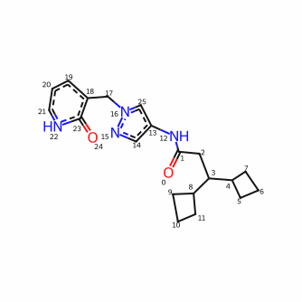 O=C(CC(C1CCC1)C1CCC1)Nc1cnn(Cc2ccc[nH]c2=O)c1